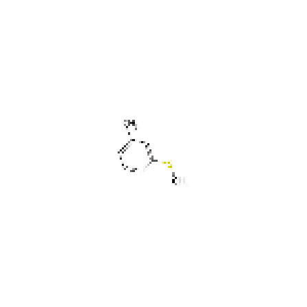 CSc1[c]ccc(C)c1